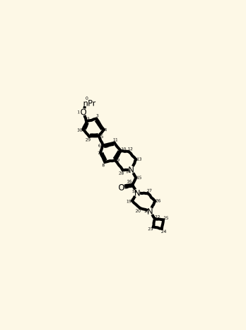 CCCOc1ccc(-c2ccc3c(c2)CCN(CC(=O)N2CCN(C4CCC4)CC2)C3)cc1